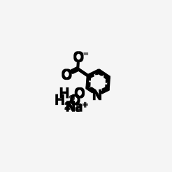 O.O.O=C([O-])c1cccnc1.[Na+]